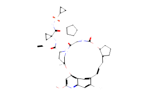 C=C[C@@H]1C[C@]1(NC(=O)[C@@H]1C[C@@H]2CN1C(=O)[C@H](C1CCCC1)NC(=O)O[C@H]1CCC[C@@H]1C/C=C/c1cc3c(cc(OCC)nc3cc1OC)O2)C(=O)NS(=O)(=O)C1CC1